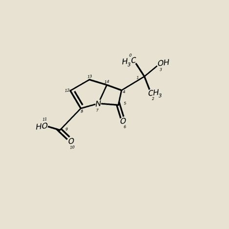 CC(C)(O)C1C(=O)N2C(C(=O)O)=CCC12